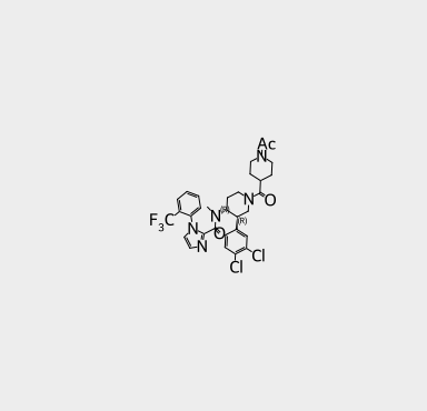 CC(=O)N1CCC(C(=O)N2CC[C@@H](N(C)C(=O)c3nccn3-c3ccccc3C(F)(F)F)[C@H](c3ccc(Cl)c(Cl)c3)C2)CC1